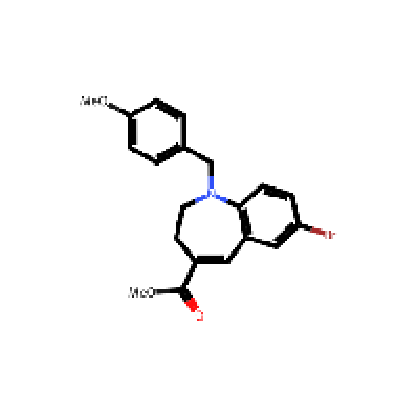 COC(=O)C1=Cc2cc(Br)ccc2N(Cc2ccc(OC)cc2)CC1